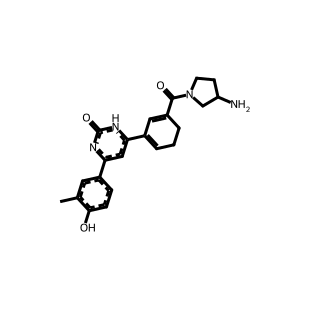 Cc1cc(-c2cc(C3=CCCC(C(=O)N4CCC(N)C4)=C3)[nH]c(=O)n2)ccc1O